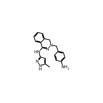 Cc1cc(NC2=NN(Cc3ccc(N)cc3)Cc3ccccc32)n[nH]1